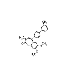 COc1cc2c(cc1OC)C(c1ccc(-c3cccc(C)c3)cc1)=NN(C)C(=O)C2